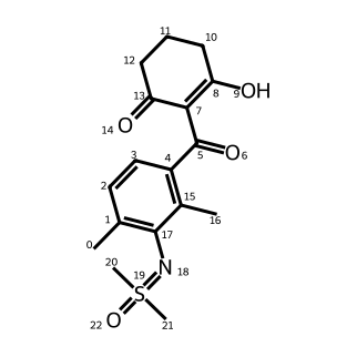 Cc1ccc(C(=O)C2=C(O)CCCC2=O)c(C)c1N=S(C)(C)=O